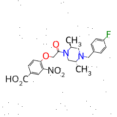 C[C@@H]1CN(C(=O)COc2ccc(C(=O)O)cc2[N+](=O)[O-])[C@@H](C)CN1Cc1ccc(F)cc1